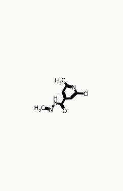 C=NNC(=O)c1cc(C)nc(Cl)c1